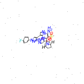 CS(=O)(=O)c1c(C2C[C@H]3CC[C@@H](C2)N3C(=O)c2cn[nH]n2)nc2c(-c3cnn(-c4ccc(F)cc4)c3)cnn2c1N